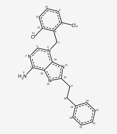 Nc1ncn(Cc2c(Cl)cccc2Cl)c2nc(CCc3ccccc3)nc1-2